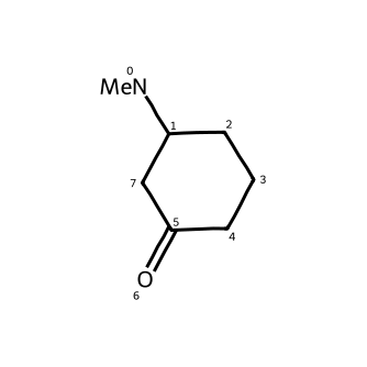 CNC1CCCC(=O)C1